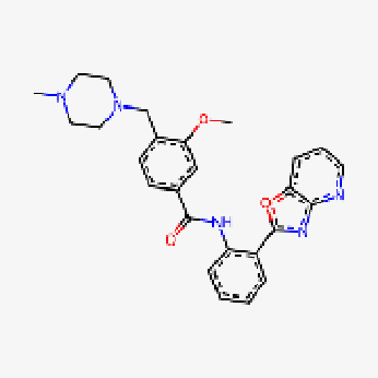 COc1cc(C(=O)Nc2ccccc2-c2nc3ncccc3o2)ccc1CN1CCN(C)CC1